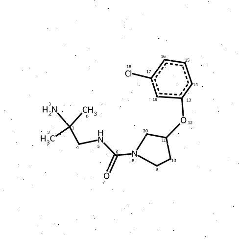 CC(C)(N)CNC(=O)N1CCC(Oc2cccc(Cl)c2)C1